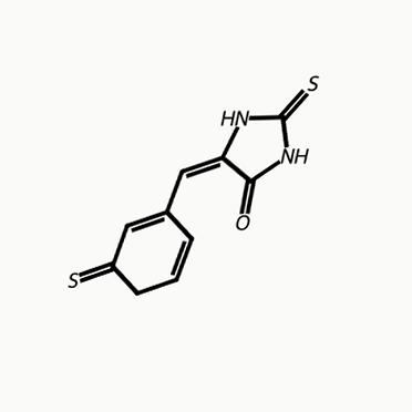 O=C1NC(=S)NC1=CC1=CC(=S)CC=C1